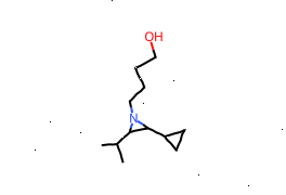 CC(C)C1C(C2CC2)N1CCCCO